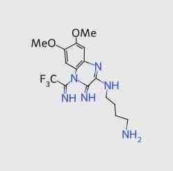 COc1cc2nc(NCCCCN)c(=N)n(C(=N)C(F)(F)F)c2cc1OC